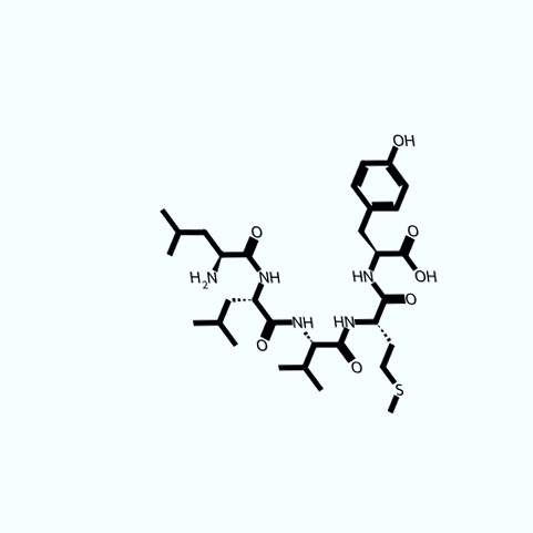 CSCC[C@H](NC(=O)[C@@H](NC(=O)[C@H](CC(C)C)NC(=O)[C@@H](N)CC(C)C)C(C)C)C(=O)N[C@@H](Cc1ccc(O)cc1)C(=O)O